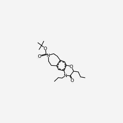 CCCC1Oc2cc3c(cc2N(CCC)C1=O)CCN(C(=O)OC(C)(C)C)CC3